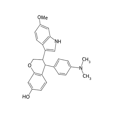 COc1ccc2c(C3COc4cc(O)ccc4C3c3ccc(N(C)C)cc3)c[nH]c2c1